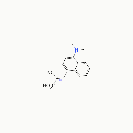 CN(C)c1ccc(/C=C(\C#N)C(=O)O)c2ccccc12